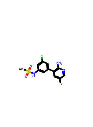 CCCS(=O)(=O)Nc1cc(Cl)cc(-c2cc(Br)cnc2N)c1